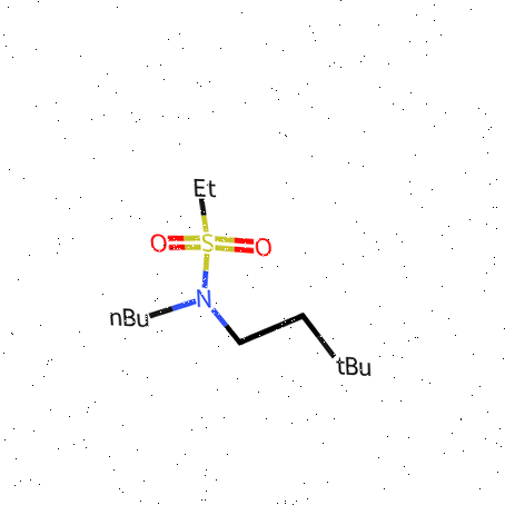 CCCCN(CCC(C)(C)C)S(=O)(=O)CC